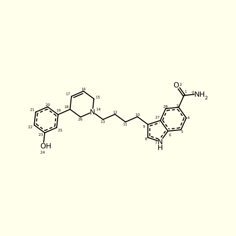 NC(=O)c1ccc2[nH]cc(CCCCN3CC=CC(c4cccc(O)c4)C3)c2c1